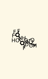 O=S(=O)(c1cc(C(O)Nc2cc(F)c(F)c(F)c2)ccc1CF)N1CCOCC(O)(C2CC2)C1